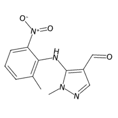 Cc1cccc([N+](=O)[O-])c1Nc1c(C=O)cnn1C